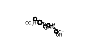 O=C(NCc1ccc(O)c(O)c1)c1ccc2c(c1)OCCN2CC1=CC#CC(c2ccccc2C(=O)O)C=C1